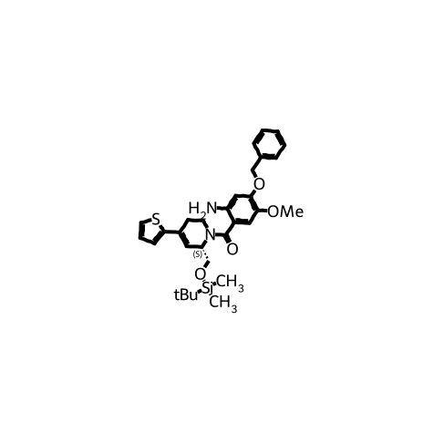 COc1cc(C(=O)N2CCC(c3cccs3)=C[C@H]2CO[Si](C)(C)C(C)(C)C)c(N)cc1OCc1ccccc1